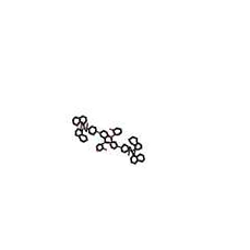 Cc1ccccc1-c1c2ccc(-c3ccc(N(c4cccc5ccccc45)c4cccc5ccccc45)cc3)cc2c(-c2ccccc2C)c2ccc(-c3ccc(N(c4cccc5ccccc45)c4cccc5ccccc45)cc3)cc12